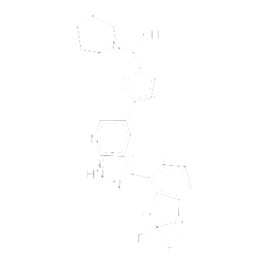 CC(c1ccc(-c2cnc3[nH]nc(-c4cccc5c4OC(F)(F)O5)c3c2)s1)N1CCCCC1